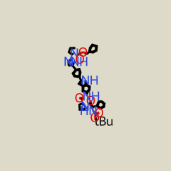 CC(C)(C)OC(=O)N[C@@H](C(=O)N1CCC[C@H]1C(=O)Nc1ccc2[nH]c(-c3ccc(-c4cnc([C@@H]5CCCN5C(=O)OCc5ccccc5)[nH]4)cc3)cc2c1)c1ccccc1